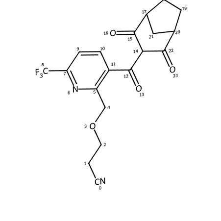 N#CCCOCc1nc(C(F)(F)F)ccc1C(=O)C1C(=O)C2CCC(C2)C1=O